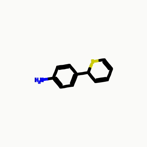 Nc1ccc(C2C=CC=CS2)cc1